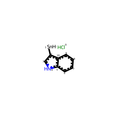 Cl.[SnH][c]1c[nH]c2ccccc12